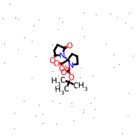 CC(C)(C)OC(=O)N1CCC[C@]1(C(=O)O)N1C(=O)CCC1=O